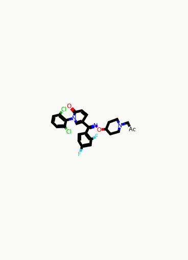 CC(=O)CN1CCC(ON=C(c2ccc(=O)n(-c3c(Cl)cccc3Cl)c2)c2ccc(F)cc2F)CC1